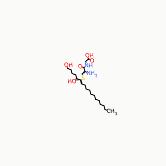 CCCCCCCCCCCC=C(SC[C@H](N)C(=O)NCC(=O)O)[C@@H](O)CCCCO